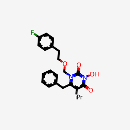 CC(C)c1c(Cc2ccccc2)n(COCCc2ccc(F)cc2)c(=O)n(O)c1=O